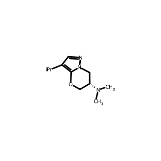 CC(C)c1cnn2c1OC[C@@H](N(C)C)C2